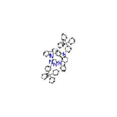 c1ccc([Si](c2ccccc2)(c2ccccc2)c2cccc(-c3nc(-n4c5ccccc5c5ccccc54)cc(-n4c5ccccc5c5ccc6c(c7ccccc7n6-c6cccc([Si](c7ccccc7)(c7ccccc7)c7ccccc7)c6)c54)n3)c2)cc1